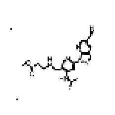 COC(=O)CCNCc1cnc(-n2ncc3cc(C#N)cnc32)cc1NC(C)C